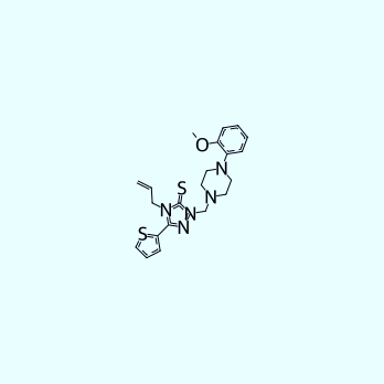 C=CCn1c(-c2cccs2)nn(CN2CCN(c3ccccc3OC)CC2)c1=S